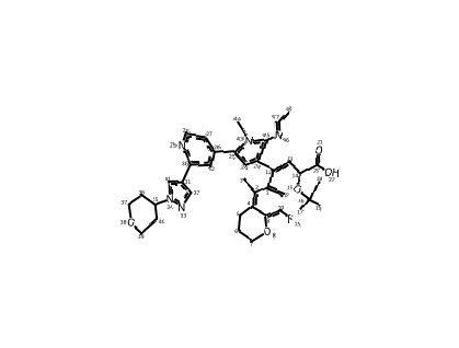 C=C(/C(C)=C1/CCCO/C1=C\F)/C(=C\[C@H](OC(C)(C)C)C(=O)O)c1cc(-c2ccnc(-c3cnn(C4CCOCC4)c3)c2)n(C)c1/N=C/C